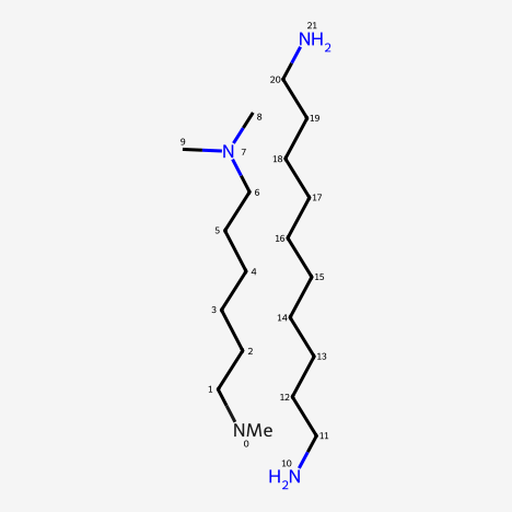 CNCCCCCCN(C)C.NCCCCCCCCCCN